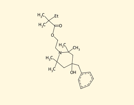 CCC(C)(C)C(=O)OCCN1C(C)(C)CC(O)(Cc2ccccc2)CC1(C)C